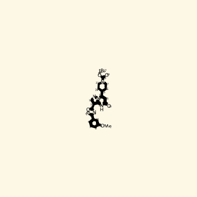 COc1cccc(-c2noc(-c3cnn4c(C5CCN(C(=O)OC(C)(C)C)CC5)cc(=O)[nH]c34)n2)c1